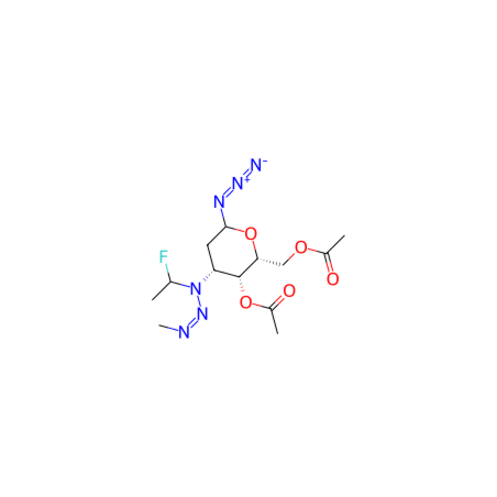 C/N=N\N(C(C)F)[C@@H]1CC(N=[N+]=[N-])O[C@H](COC(C)=O)[C@@H]1OC(C)=O